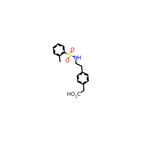 Cc1ccccc1S(=O)(=O)NCCc1ccc(CC(=O)O)cc1